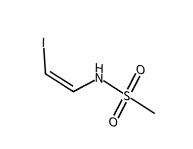 CS(=O)(=O)N/C=C\I